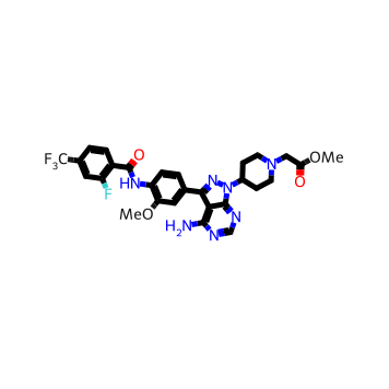 COC(=O)CN1CCC(n2nc(-c3ccc(NC(=O)c4ccc(C(F)(F)F)cc4F)c(OC)c3)c3c(N)ncnc32)CC1